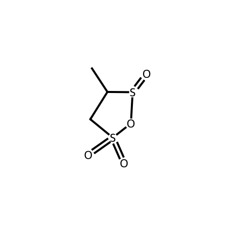 CC1CS(=O)(=O)OS1=O